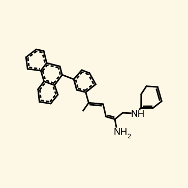 C/C(=C\C=C(\N)CNC1=CC=CCC1)c1cccc(-c2cc3ccccc3c3ccccc23)c1